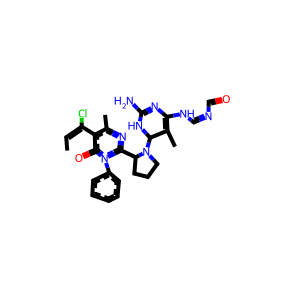 C/C=C(/Cl)c1c(C)nc(C2CCCN2C2NC(N)=NC(N/C=N\C=O)=C2C)n(-c2ccccc2)c1=O